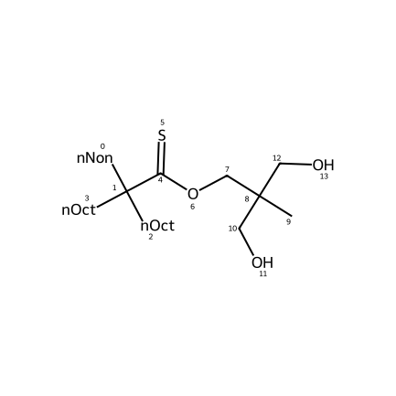 CCCCCCCCCC(CCCCCCCC)(CCCCCCCC)C(=S)OCC(C)(CO)CO